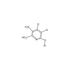 CCOc1nc(C(=O)O)c(N)c(Cl)c1Cl